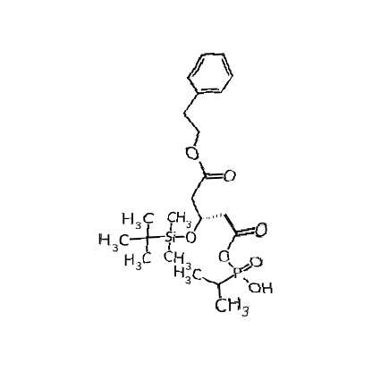 CC(C)P(=O)(O)OC(=O)C[C@@H](CC(=O)OCCc1ccccc1)O[Si](C)(C)C(C)(C)C